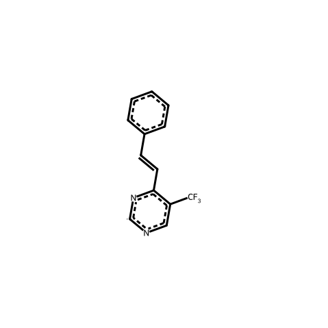 FC(F)(F)c1cn[c]nc1C=Cc1ccccc1